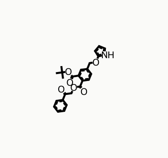 CC(C)(C)OC(=O)c1cc(COc2ccc[nH]2)ccc1C(=O)OCC(=O)c1ccccc1